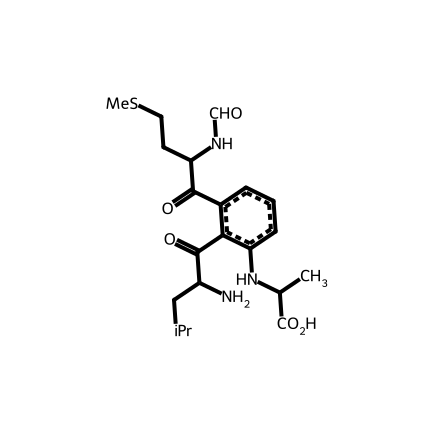 CSCCC(NC=O)C(=O)c1cccc(NC(C)C(=O)O)c1C(=O)C(N)CC(C)C